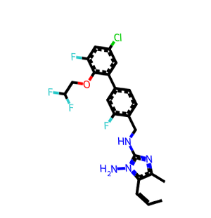 C/C=C\c1c(C)nc(NCc2ccc(-c3cc(Cl)cc(F)c3OCC(F)F)cc2F)n1N